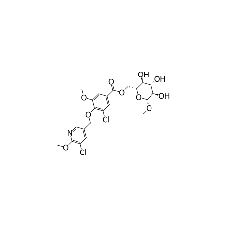 COc1cc(C(=O)OC[C@H]2O[C@@H](OC)[C@H](O)[C@@H](O)[C@@H]2O)cc(Cl)c1OCc1cnc(OC)c(Cl)c1